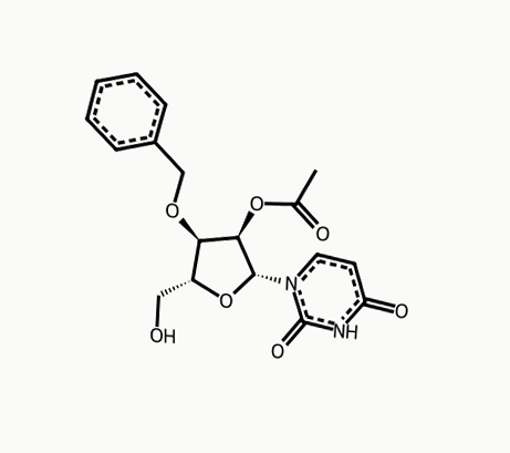 CC(=O)O[C@@H]1[C@H](OCc2ccccc2)[C@@H](CO)O[C@H]1n1ccc(=O)[nH]c1=O